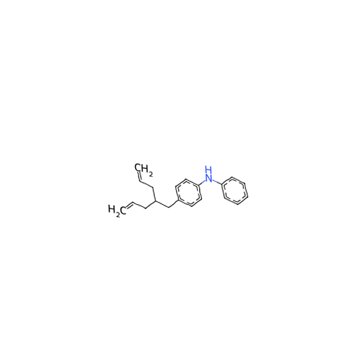 C=CCC(CC=C)Cc1ccc(Nc2ccccc2)cc1